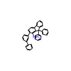 Nc1c(-c2cccc(-c3ccccc3)c2)ccc2c1C(c1ccccc1)(c1ccccc1)c1ccccc1-2